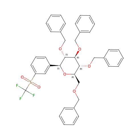 O=S(=O)(c1cccc([C@@H]2O[C@H](COCc3ccccc3)[C@@H](OCc3ccccc3)[C@H](OCc3ccccc3)[C@H]2OCc2ccccc2)c1)C(F)(F)F